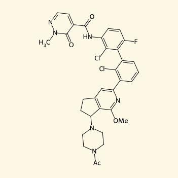 COc1nc(-c2cccc(-c3c(F)ccc(NC(=O)c4ccnn(C)c4=O)c3Cl)c2Cl)cc2c1C(N1CCN(C(C)=O)CC1)CC2